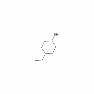 CCC1CCC([NH])CC1